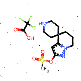 O=C(O)C(F)(F)F.O=S(=O)(Oc1cc2n(n1)CCCC21CCNCC1)C(F)(F)F